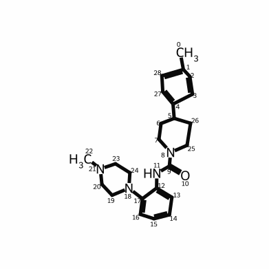 Cc1ccc(C2CCN(C(=O)Nc3ccccc3N3CCN(C)CC3)CC2)cc1